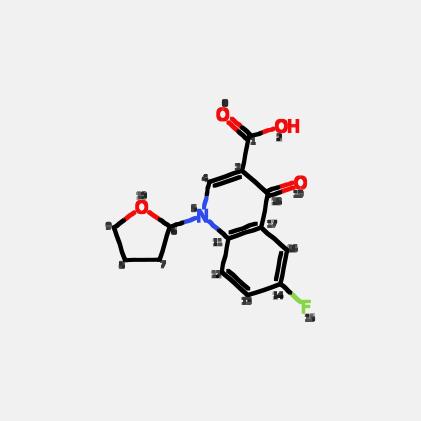 O=C(O)c1cn(C2CCCO2)c2ccc(F)cc2c1=O